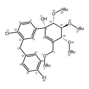 CCCCOCC1=C[C@@](O)(c2ccc(Cl)c(Cc3ccc(CC)cc3)c2)[C@H](OCCCC)[C@@H](OCCCC)[C@@H]1OCCCC